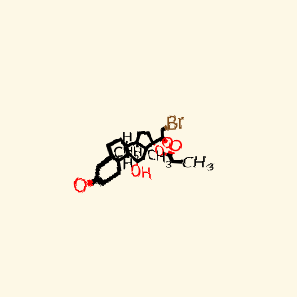 CCC(=O)O[C@]1(C(=O)CBr)CC[C@H]2[C@@H]3CCC4=CC(=O)CC[C@]4(C)[C@H]3[C@@H](O)C[C@@]21C